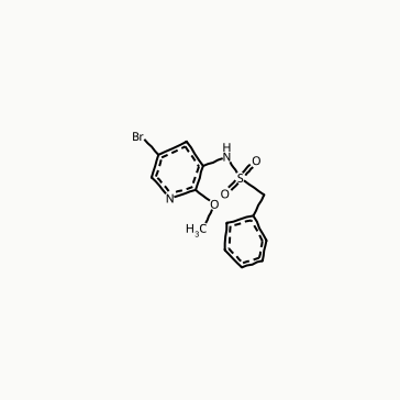 COc1ncc(Br)cc1NS(=O)(=O)Cc1ccccc1